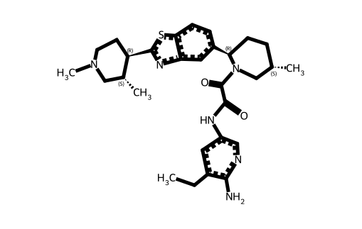 CCc1cc(NC(=O)C(=O)N2C[C@@H](C)CC[C@@H]2c2ccc3sc([C@@H]4CCN(C)C[C@H]4C)nc3c2)cnc1N